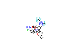 Cc1cc(Cn2nc(C(F)(F)C(F)(F)F)nc2C(F)(F)F)ccc1N(C(=O)c1cccc(Cl)c1C(N)=O)C(C)(C)COCc1ccccc1